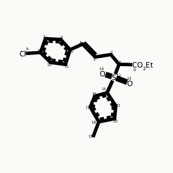 CCOC(=O)C(C/C=C/c1ccc(Cl)cc1)S(=O)(=O)c1ccc(C)cc1